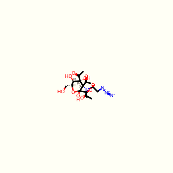 CC(=O)N(C(=O)CN=[N+]=[N-])[C@]1(C(C)=O)C(O)(C(C)=O)O[C@H](CO)[C@@H](O)[C@@]1(O)C(C)=O